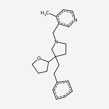 Cc1ccncc1CN1CCC(CCc2ccccc2)(C2CCCO2)C1